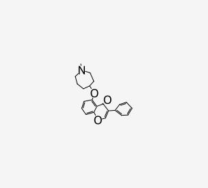 CN1CCCC(Oc2cccc3occ(-c4ccccc4)c(=O)c23)CC1